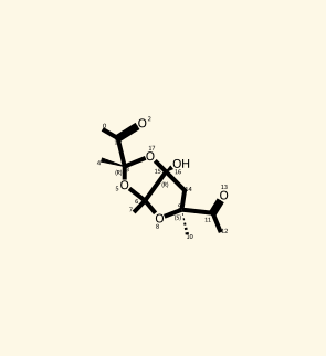 CC(=O)[C@@]1(C)OC2(C)O[C@](C)(C(C)=O)C[C@@]2(O)O1